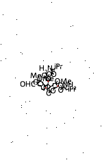 COc1cc2c(ccn3c2c(-c2ccc(OC(=O)[C@@H](N)CC(C)C)c(OC)c2)c2c4cc(OC)c(OC(=O)[C@@H](N)CC(C)C)cc4oc(=O)c23)cc1OC=O